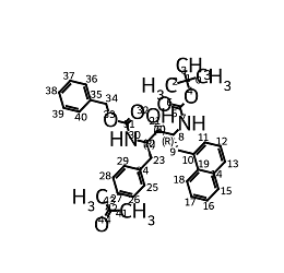 CC(C)(C)OC(=O)N[C@H](Cc1cccc2ccccc12)[C@@H](O)[C@@H](Cc1ccccc1)NC(=O)OCc1ccccc1.CC(C)=O